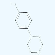 [NH]c1ccc(N2CCNCC2)cc1